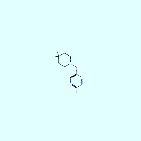 FC1(F)CCN(Cc2cnc(Br)cn2)CC1